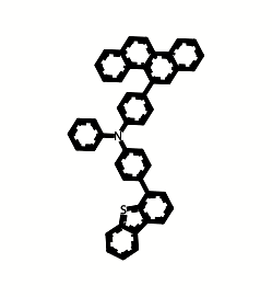 c1ccc(N(c2ccc(-c3cccc4c3sc3ccccc34)cc2)c2ccc(-c3cc4ccccc4c4ccc5ccccc5c34)cc2)cc1